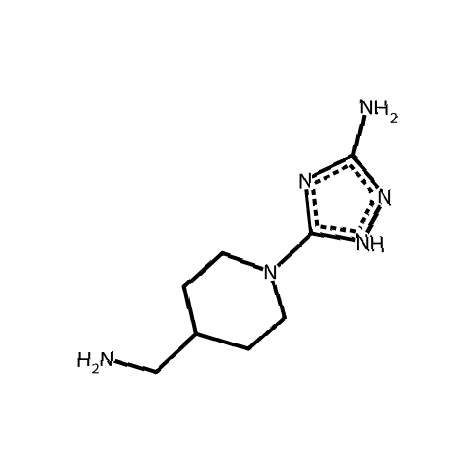 NCC1CCN(c2nc(N)n[nH]2)CC1